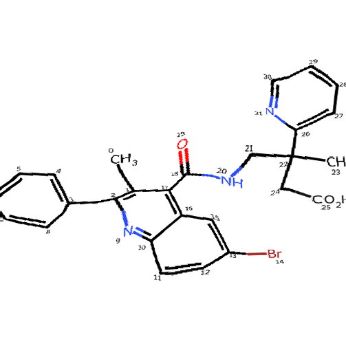 Cc1c(-c2ccccc2)nc2ccc(Br)cc2c1C(=O)NCC(C)(CC(=O)O)c1ccccn1